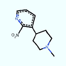 CN1CCC(c2cccnc2[N+](=O)[O-])CC1